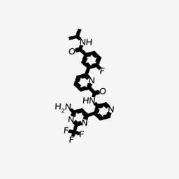 CC(C)NC(=O)c1ccc(F)c(-c2cccc(C(=O)Nc3cnccc3-c3cc(N)nc(C(F)(F)F)n3)n2)c1